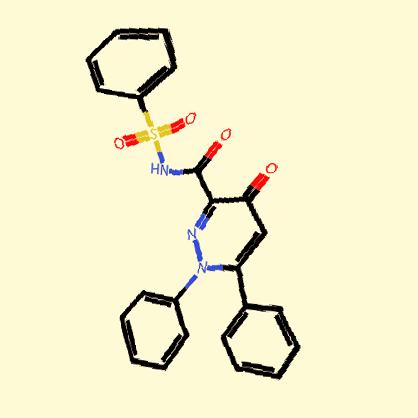 O=C(NS(=O)(=O)c1ccccc1)c1nn(-c2ccccc2)c(-c2ccccc2)cc1=O